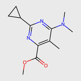 COC(=O)c1nc(C2CC2)nc(N(C)C)c1C